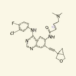 CN(C)C/C=C/C(=O)Nc1cc2c(Nc3ccc(F)c(Cl)c3)ncnc2cc1C#CC12COCC1C2